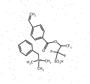 C=Cc1ccc(C(=O)OC(C(F)(F)F)C(F)(F)S(=O)(=O)O)cc1.C[N+](C)(C)Cc1ccccc1